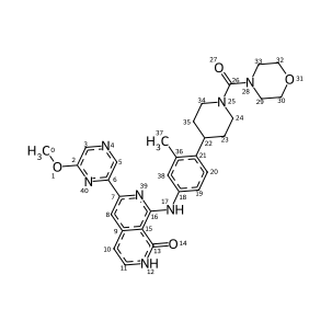 COc1cncc(-c2cc3cc[nH]c(=O)c3c(Nc3ccc(C4CCN(C(=O)N5CCOCC5)CC4)c(C)c3)n2)n1